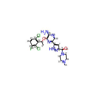 CC(Oc1nc(-c2cc(C(=O)N3CCN(C)CC3)n[nH]2)cnc1N)c1c(Cl)ccc(F)c1Cl